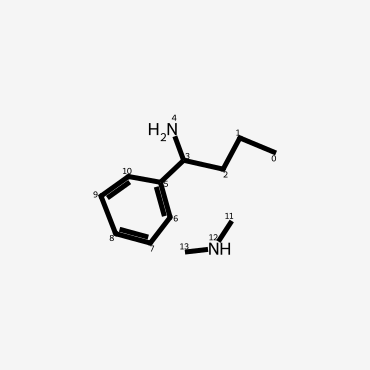 CCCC(N)c1ccccc1.CNC